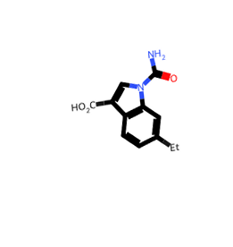 CCc1ccc2c(C(=O)O)cn(C(N)=O)c2c1